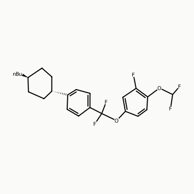 CCCC[C@H]1CC[C@H](c2ccc(C(F)(F)Oc3ccc(OC(F)F)c(F)c3)cc2)CC1